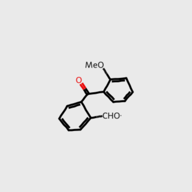 COc1ccccc1C(=O)c1ccccc1[C]=O